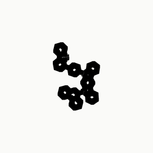 c1ccc2c(c1)cc(-n1c3ccccc3c3cc4c5ccccc5n(-c5ccc(-c6cccc7c6sc6ccccc67)cc5)c4cc31)c1ccccc12